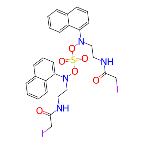 O=C(CI)NCCN(OS(=O)(=O)ON(CCNC(=O)CI)c1cccc2ccccc12)c1cccc2ccccc12